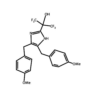 COc1ccc(Cc2nc(C(O)(C(F)(F)F)C(F)(F)F)[nH]c2Cc2ccc(OC)cc2)cc1